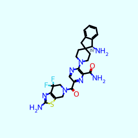 NC(=O)c1nc(C(=O)N2Cc3sc(N)nc3C(F)(F)C2)cnc1N1CCC2(CC1)Cc1ccccc1[C@H]2N